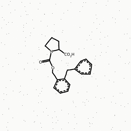 O=C(O)C1CCCN1C(=O)OCc1ccccc1Cc1ccccc1